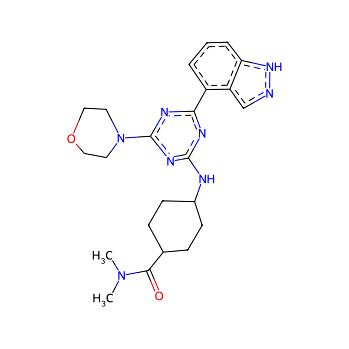 CN(C)C(=O)C1CCC(Nc2nc(-c3cccc4[nH]ncc34)nc(N3CCOCC3)n2)CC1